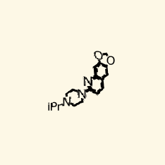 CC(C)N1CCN(c2ccc3cc4c(cc3n2)OCO4)CC1